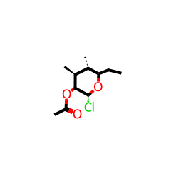 CCC1O[C@H](Cl)C(OC(C)=O)[C@@H](C)[C@@H]1C